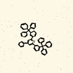 C1=CCC(C(c2ccccc2)(c2ccccc2)C2C=C(c3cc(-c4ccccc4)cc(-c4cccc(C(c5ccccc5)(c5ccccc5)c5ccccc5)c4)n3)C=CC2)C=C1